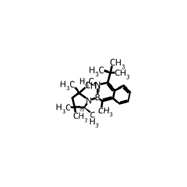 CC1=c2ccccc2=C(C(C)(C)C)N(C)B1N1[C@@H](C)C(C)(C)CC1(C)C